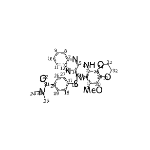 COc1cc(Nc2nc3ccccc3nc2NSc2ccc(C(=O)N(C)C)cc2)c2c(c1)OCCO2